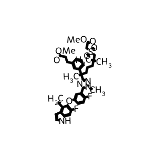 C=Cc1c(Oc2ccc(F)c(-c3nc(C(C)(CCCC(C)(C)CS(=O)(=O)CC(=O)OC)c4cccc(CCC(=O)OC)c4)nn3C)c2)c(F)cc2[nH]ccc12